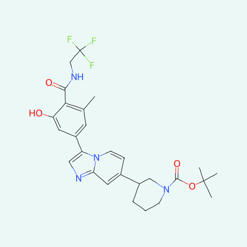 Cc1cc(-c2cnc3cc(C4CCCN(C(=O)OC(C)(C)C)C4)ccn23)cc(O)c1C(=O)NCC(F)(F)F